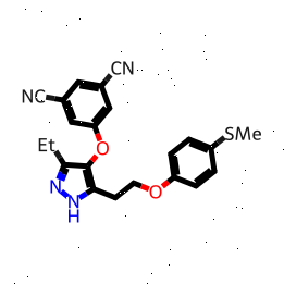 CCc1n[nH]c(CCOc2ccc(SC)cc2)c1Oc1cc(C#N)cc(C#N)c1